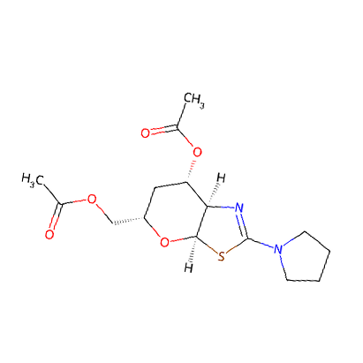 CC(=O)OC[C@@H]1C[C@H](OC(C)=O)[C@H]2N=C(N3CCCC3)S[C@H]2O1